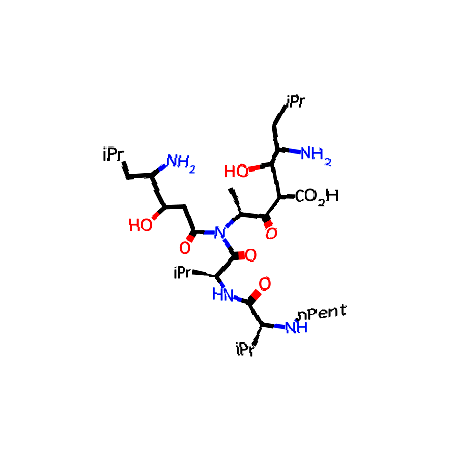 CCCCCN[C@H](C(=O)N[C@H](C(=O)N(C(=O)CC(O)C(N)CC(C)C)[C@@H](C)C(=O)C(C(=O)O)C(O)C(N)CC(C)C)C(C)C)C(C)C